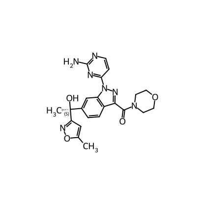 Cc1cc([C@@](C)(O)c2ccc3c(C(=O)N4CCOCC4)nn(-c4ccnc(N)n4)c3c2)no1